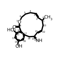 CC1/C=C/CCCOC(=O)c2c(O)cc(O)cc2CC(=N)/C=C/C1